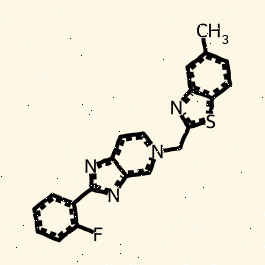 Cc1ccc2sc(Cn3ccc4nc(-c5ccccc5F)nc-4c3)nc2c1